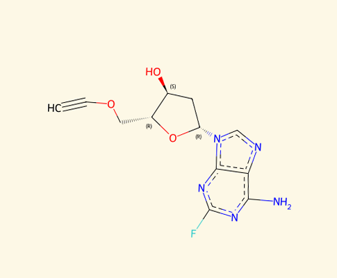 C#COC[C@H]1O[C@@H](n2cnc3c(N)nc(F)nc32)C[C@@H]1O